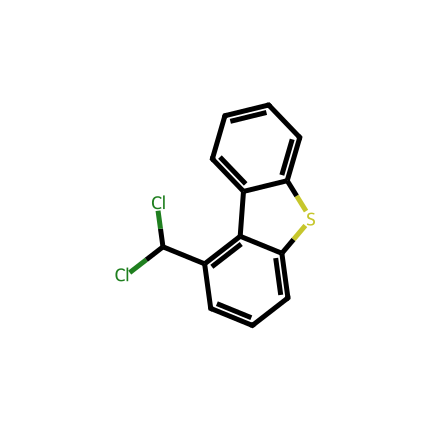 ClC(Cl)c1cccc2sc3ccccc3c12